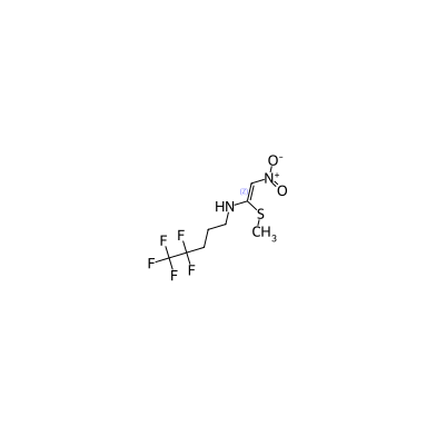 CS/C(=C\[N+](=O)[O-])NCCCC(F)(F)C(F)(F)F